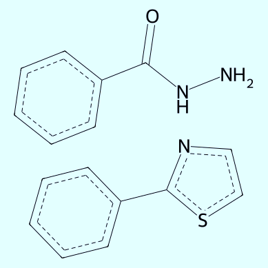 NNC(=O)c1ccccc1.c1ccc(-c2nccs2)cc1